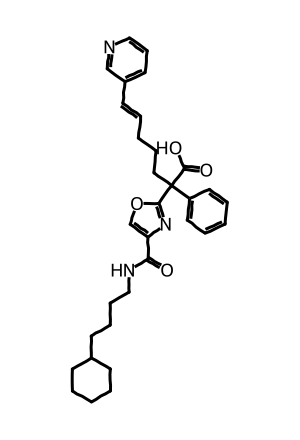 O=C(NCCCCC1CCCCC1)c1coc(C(CCCC=Cc2cccnc2)(C(=O)O)c2ccccc2)n1